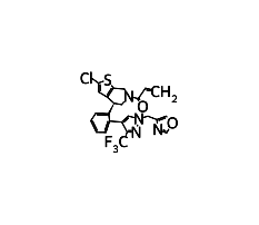 C=CC(=O)N1Cc2sc(Cl)cc2[C@H](c2ccccc2-c2cn(Cc3cocn3)nc2C(F)(F)F)C1